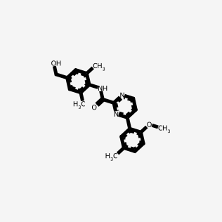 COc1ccc(C)cc1-c1ccnc(C(=O)Nc2c(C)cc(CO)cc2C)n1